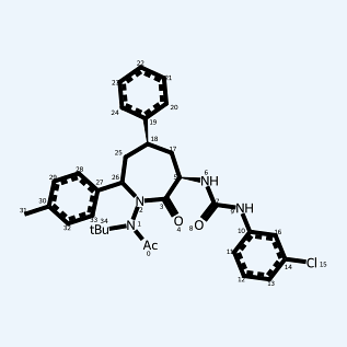 CC(=O)N(N1C(=O)[C@H](NC(=O)Nc2cccc(Cl)c2)C[C@H](c2ccccc2)CC1c1ccc(C)cc1)C(C)(C)C